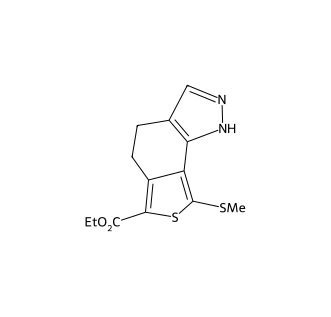 CCOC(=O)c1sc(SC)c2c1CCc1cn[nH]c1-2